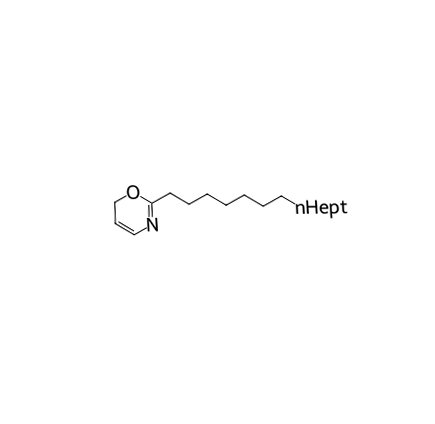 CCCCCCCCCCCCCCC1=NC=CCO1